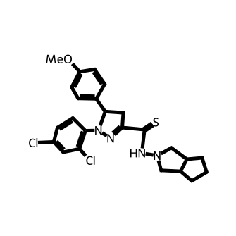 COc1ccc(C2CC(C(=S)NN3CC4CCCC4C3)=NN2c2ccc(Cl)cc2Cl)cc1